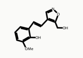 COc1cccc(C=Cc2cnoc2CO)c1O